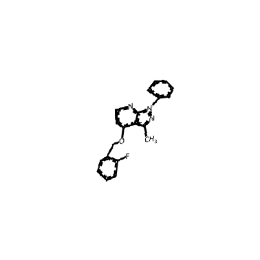 Cc1nn(-c2ccccc2)c2nccc(OCc3ccccc3F)c12